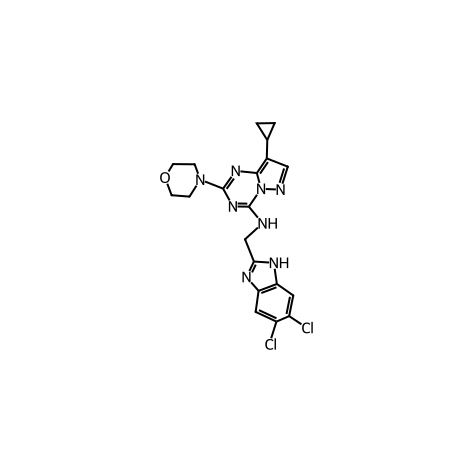 Clc1cc2nc(CNc3nc(N4CCOCC4)nc4c(C5CC5)cnn34)[nH]c2cc1Cl